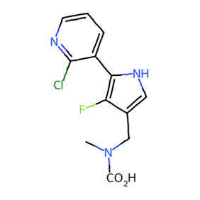 CN(Cc1c[nH]c(-c2cccnc2Cl)c1F)C(=O)O